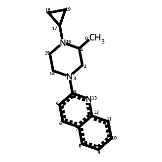 CC1CN(c2ccc3ccccc3n2)CCN1C1CC1